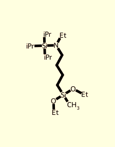 CCO[Si](C)(CCCCN(CC)[Si](C(C)C)(C(C)C)C(C)C)OCC